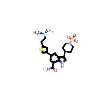 CCS(=O)(=O)N1CCC(c2c[nH]c3c(C(N)=O)cc(-c4csc(CCN(C)C)c4)cc23)CC1